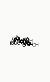 C#Cc1ccc2c(c1)[nH]c1c2c(=O)c2cc(OCC(C)C)c(-c3cncc(S(=O)(=O)F)c3)cc2n1C(C)C